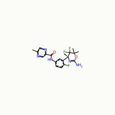 Cc1cnc(C(=O)Nc2ccc(F)c([C@@]3(C)N=C(N)OC(C)(C)C3(F)F)c2)cn1